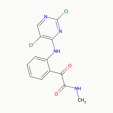 CNC(=O)C(=O)c1ccccc1Nc1nc(Cl)ncc1Cl